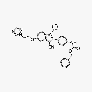 N#Cc1c(-c2ccc(NC(=O)OCc3ccccc3)cc2)n(C2CCC2)c2ccc(OCCn3cncn3)cc12